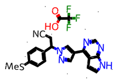 CSc1ccc(C(CC#N)n2cc(-c3ncnc4[nH]ccc34)cn2)cc1.O=C(O)C(F)(F)F